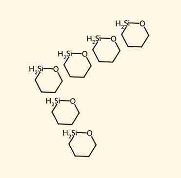 C1CC[SiH2]OC1.C1CC[SiH2]OC1.C1CC[SiH2]OC1.C1CC[SiH2]OC1.C1CC[SiH2]OC1.C1CC[SiH2]OC1